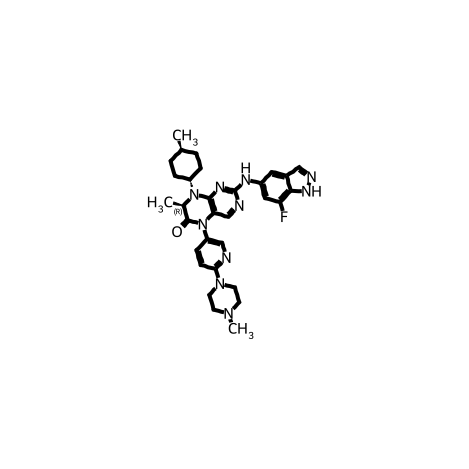 C[C@@H]1C(=O)N(c2ccc(N3CCN(C)CC3)nc2)c2cnc(Nc3cc(F)c4[nH]ncc4c3)nc2N1[C@H]1CC[C@H](C)CC1